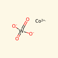 [Co+2].[O]=[W](=[O])([O-])[O-]